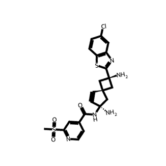 CS(=O)(=O)c1cc(C(=O)N[C@@]2(N)C#C[C@]3(C2)C[C@@](N)(c2nc4cc(Cl)ccc4s2)C3)ccn1